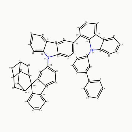 c1ccc(-c2cccc(-n3c4ccccc4c4cccc(-c5ccc6c(c5)c5ccccc5n6-c5ccc6c(c5)C5(c7ccccc7-6)C6CC7CC(C6)CC5C7)c43)c2)cc1